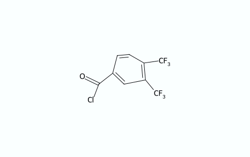 O=C(Cl)c1ccc(C(F)(F)F)c(C(F)(F)F)c1